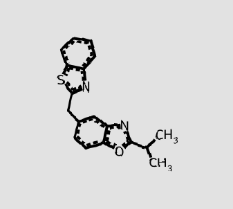 CC(C)c1nc2cc(Cc3nc4ccccc4s3)ccc2o1